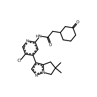 CC1(C)Cc2c(-c3cc(NC(=O)CC4CCCC(=O)C4)ncc3Cl)cnn2C1